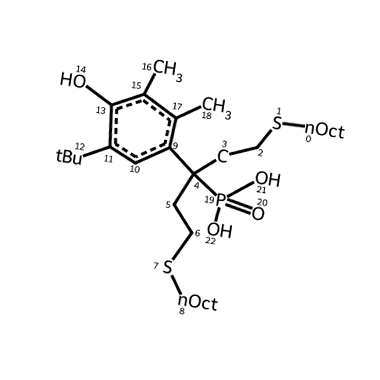 CCCCCCCCSCCC(CCSCCCCCCCC)(c1cc(C(C)(C)C)c(O)c(C)c1C)P(=O)(O)O